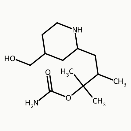 CC(CC1CC(CO)CCN1)C(C)(C)OC(N)=O